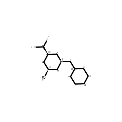 O[C@H]1C[C@@H](C(F)F)CN(CC2CCCCC2)C1